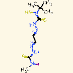 CN(I)C(=S)N/N=C/C=N/NC(=S)N(S)C(C)(C)C